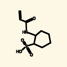 C=CC(=O)NC1CCCCC1S(=O)(=O)O